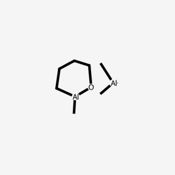 [CH3][Al]1[CH2]CCC[O]1.[CH3][Al][CH3]